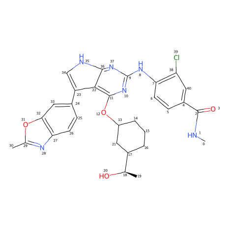 CNC(=O)c1ccc(Nc2nc(OC3CCCC([C@@H](C)O)C3)c3c(-c4ccc5nc(C)oc5c4)c[nH]c3n2)c(Cl)c1